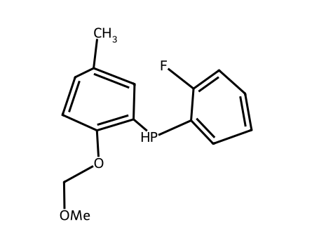 COCOc1ccc(C)cc1Pc1ccccc1F